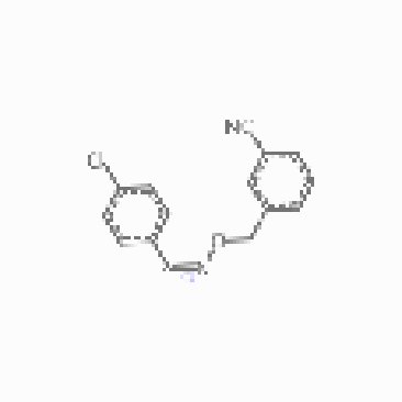 N#Cc1cccc(CO/N=[C]\c2ccc(Cl)cc2)c1